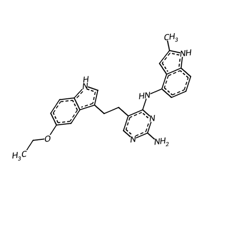 CCOc1ccc2[nH]cc(CCc3cnc(N)nc3Nc3cccc4[nH]c(C)cc34)c2c1